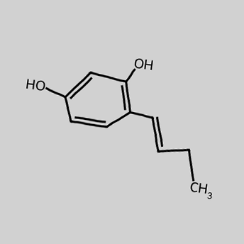 CCC=Cc1ccc(O)cc1O